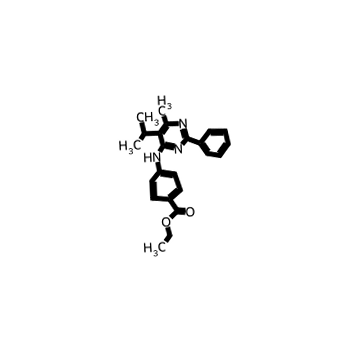 CCOC(=O)c1ccc(Nc2nc(-c3ccccc3)nc(C)c2C(C)C)cc1